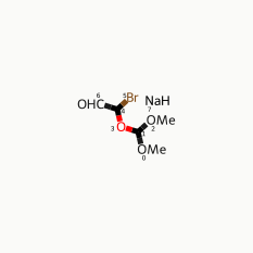 COC(OC)OC(Br)C=O.[NaH]